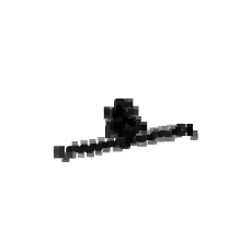 CCCCCCCCCCCCOC(CCCCCCCCCCCC)C(CO)(CO)CO.OP(O)O.OP(O)O